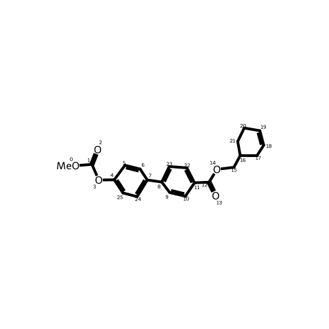 COC(=O)Oc1ccc(-c2ccc(C(=O)OCC3CC=CCC3)cc2)cc1